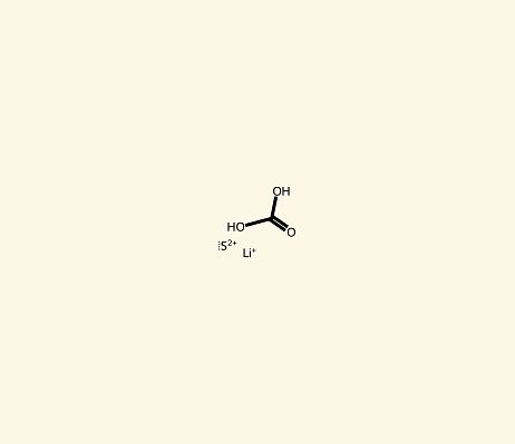 O=C(O)O.[Li+].[S+2]